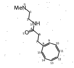 CNCCNC(=O)CCC1=C/C=C\C=C/C=C\1